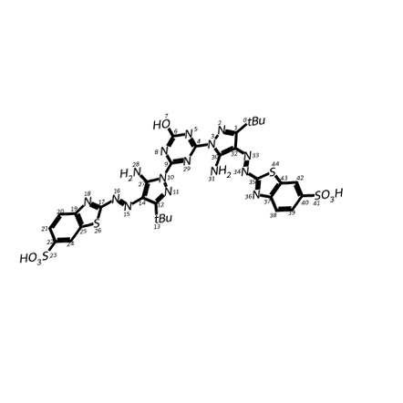 CC(C)(C)c1nn(-c2nc(O)nc(-n3nc(C(C)(C)C)c(N=Nc4nc5ccc(S(=O)(=O)O)cc5s4)c3N)n2)c(N)c1N=Nc1nc2ccc(S(=O)(=O)O)cc2s1